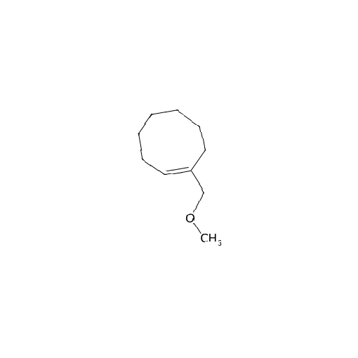 COCC1=CCCCCCC1